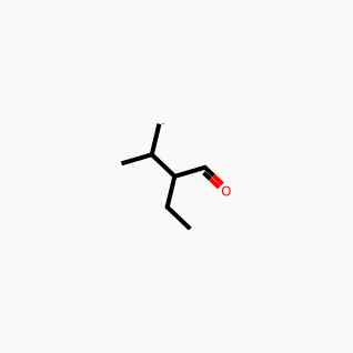 [CH2]C(C)C(C=O)CC